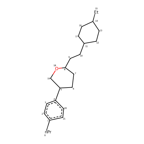 CCCc1ccc(C2CCC(CCC3CCC(CC)CC3)OC2)cc1